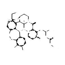 COC(=O)OC(C)Oc1c2n(ccc1=O)N([C@@H]1c3ccccc3SCc3c1ccc(F)c3F)[C@@H]1[C@H]3C[C@@H]4CC[C@@]3(CCN1C2=O)O4